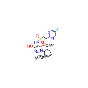 CCC[C@H](C)c1nc(O)c(NS(=O)(=O)CCc2ncc(F)cn2)c(=O)n1-c1c(OC)cccc1OC